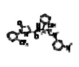 CN(C)c1cccc(N(C)C[C@@H](O)[C@@](C)(NC(=O)C2=NN(c3ccccc3C(F)(F)F)C(=O)C2)c2ccccc2)c1